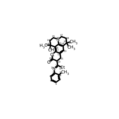 CC/C(=N\c1ccccc1C)C1Cc2cc3c4c(c2OC1=O)C(C)(C)CCN4CCC3(C)C